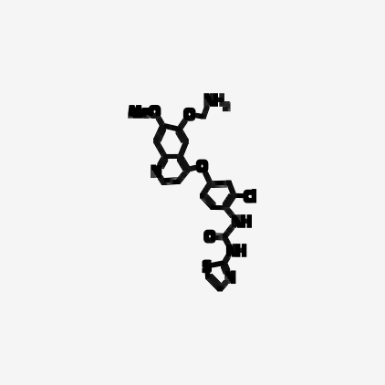 COc1cc2nccc(Oc3ccc(NC(=O)Nc4nccs4)c(Cl)c3)c2cc1OCN